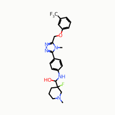 CN1CCCC(F)(C(O)Nc2ccc(-c3nnc(COc4cccc(C(F)(F)F)c4)n3C)cc2)C1